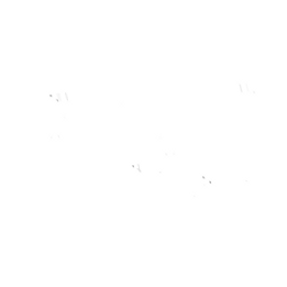 Cc1ccc(C(=O)c2ccc(CC(=O)NC(CCC(N)=O)C(=O)O)n2C)cc1